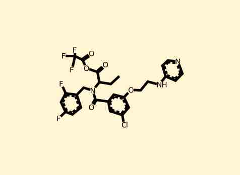 CCC(C(=O)OC(=O)C(F)(F)F)N(Cc1ccc(F)cc1F)C(=O)c1cc(Cl)cc(OCCNc2ccncc2)c1